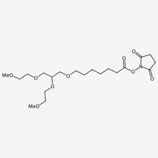 COCCOCC(COCCCCCCC(=O)ON1C(=O)CCC1=O)OCCOC